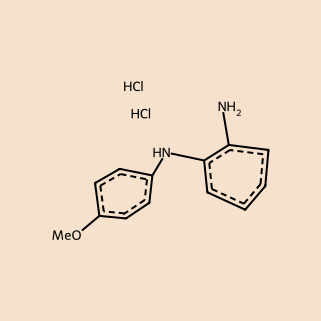 COc1ccc(Nc2ccccc2N)cc1.Cl.Cl